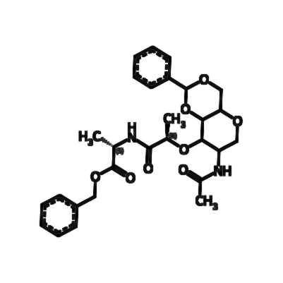 CC(=O)NC1COC2COC(c3ccccc3)OC2C1O[C@H](C)C(=O)N[C@@H](C)C(=O)OCc1ccccc1